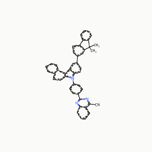 CC1(C)c2ccccc2-c2ccc(-c3ccc4c(c3)c3c5ccccc5ccc3n4-c3ccc(-c4nc(C#N)c5ccccc5n4)cc3)cc21